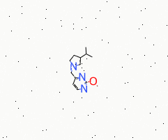 COc1nccc(CN2CCC(C(C)C)C2)n1